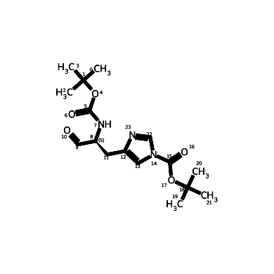 CC(C)(C)OC(=O)N[C@H](C=O)Cc1cn(C(=O)OC(C)(C)C)cn1